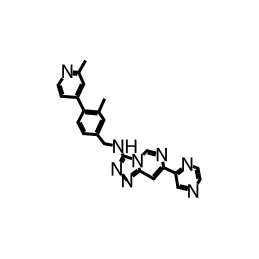 Cc1cc(-c2ccc(CNc3nnc4cc(-c5cnccn5)ncn34)cc2C)ccn1